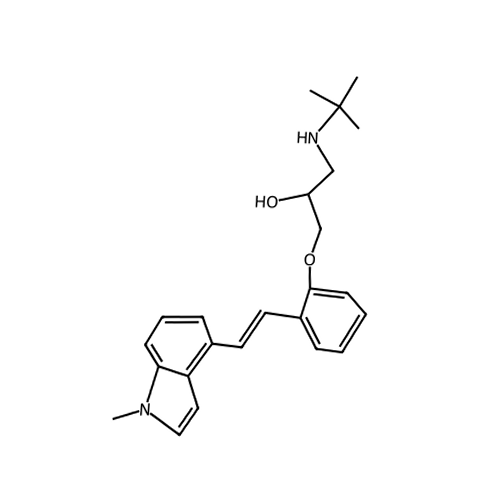 Cn1ccc2c(C=Cc3ccccc3OCC(O)CNC(C)(C)C)cccc21